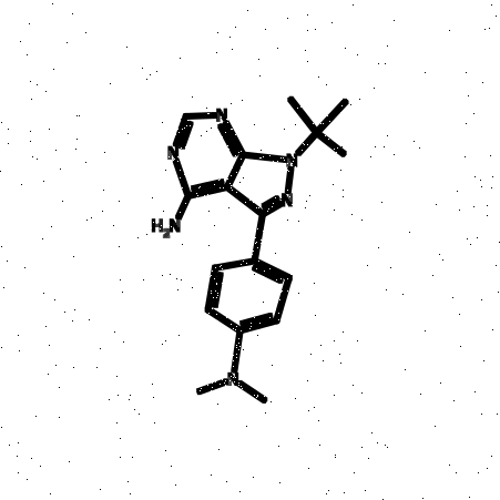 CN(C)c1ccc(-c2nn(C(C)(C)C)c3ncnc(N)c23)cc1